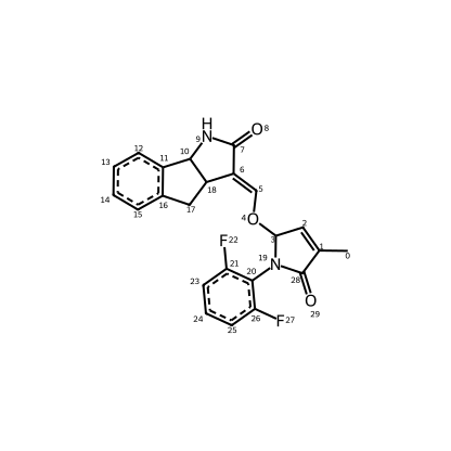 CC1=CC(OC=C2C(=O)NC3c4ccccc4CC23)N(c2c(F)cccc2F)C1=O